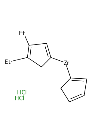 CCC1=C(CC)C[C]([Zr][C]2=CC=CC2)=C1.Cl.Cl